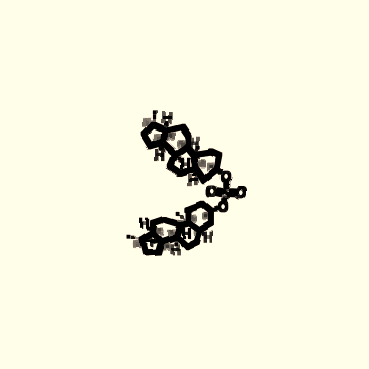 C[C@H]1CC[C@@H]2[C@@H]1CC[C@H]1[C@H]2CC[C@@H]2C[C@H](OS(=O)(=O)O[C@@H]3CC[C@@]4(C)[C@H](CC[C@H]5[C@@H]6CC[C@H](C)[C@H]6CC[C@@H]54)C3)CC[C@@]21C